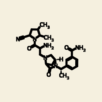 CC1CC(C#N)N(C(=O)C(N)CN2C[C@@H]3CC2C(=O)N3[C@@H](C)c2cccc(C(N)=O)c2)C1C